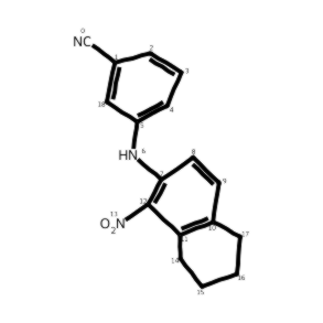 N#Cc1cccc(Nc2ccc3c(c2[N+](=O)[O-])CCCC3)c1